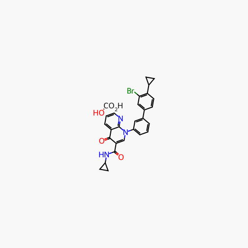 O=C(NC1CC1)c1cn(-c2cccc(-c3ccc(C4CC4)c(Br)c3)c2)c2ncccc2c1=O.O=C(O)O